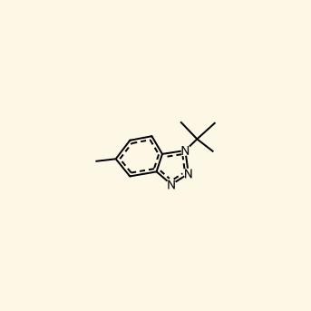 Cc1ccc2c(c1)nnn2C(C)(C)C